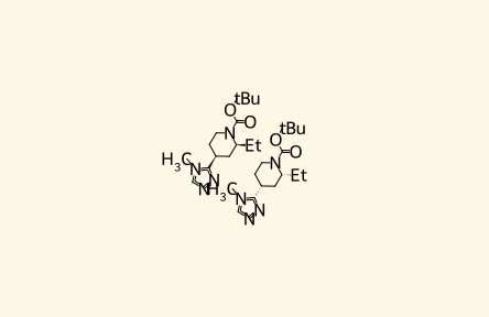 CC[C@@H]1C[C@H](c2nncn2C)CCN1C(=O)OC(C)(C)C.CC[C@H]1C[C@@H](c2nncn2C)CCN1C(=O)OC(C)(C)C